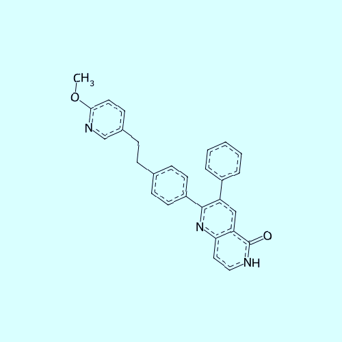 COc1ccc(CCc2ccc(-c3nc4cc[nH]c(=O)c4cc3-c3ccccc3)cc2)cn1